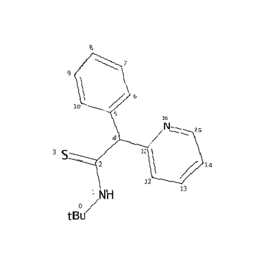 CC(C)(C)NC(=S)C(c1ccccc1)c1ccccn1